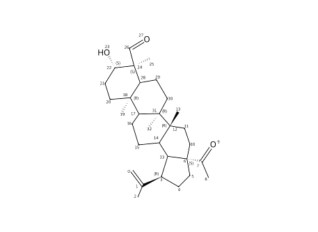 C=C(C)[C@@H]1CC[C@]2(C(C)=O)CC[C@]3(C)C(CCC4[C@@]5(C)CC[C@H](O)[C@@](C)(C=O)C5CC[C@]43C)C12